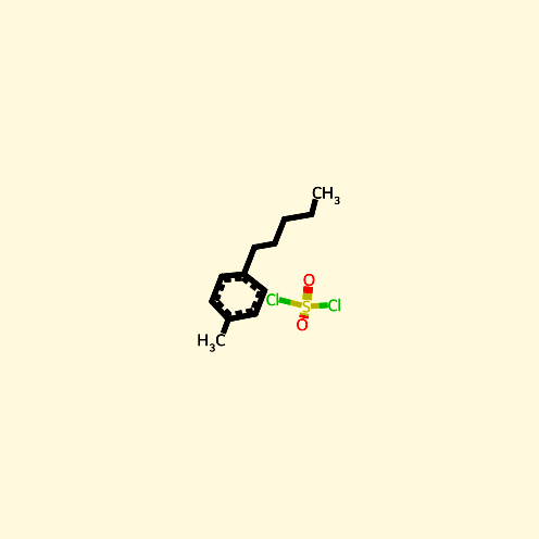 CCCCCc1ccc(C)cc1.O=S(=O)(Cl)Cl